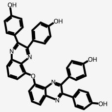 Oc1ccc(-c2nc3cccc(Oc4cccc5nc(-c6ccc(O)cc6)c(-c6ccc(O)cc6)nc45)c3nc2-c2ccc(O)cc2)cc1